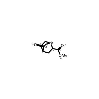 COC(=O)C1CC2CCN1CC2=O